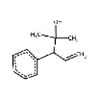 C=CC(c1ccccc1)C(C)(C)O